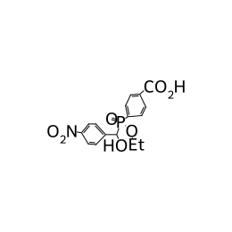 CCOP(=O)(c1ccc(C(=O)O)cc1)C(O)c1ccc([N+](=O)[O-])cc1